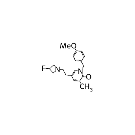 COc1ccc(Cn2cc(CCN3CC(F)C3)cc(C)c2=O)cc1